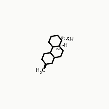 C=C1CCC2C(CC[C@H]3C2CCC[C@@H]3S)C1